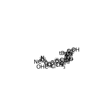 Cc1c(COc2cc(OCc3cncc(C#N)c3)c(C=O)cc2Cl)cccc1-c1cccc(-c2ccn3c(=O)c(CN(CCO)C(=O)OC(C)(C)C)cnc3c2)c1C